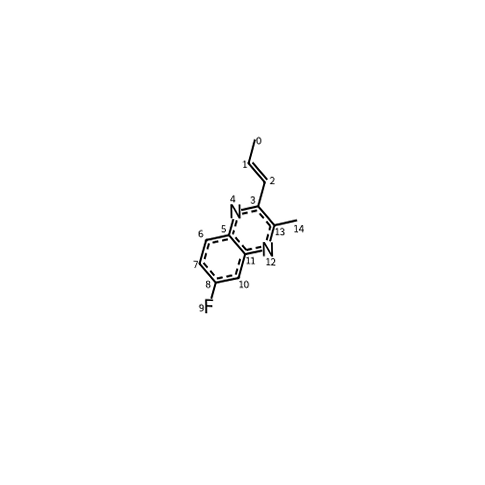 C/C=C/c1nc2ccc(F)cc2nc1C